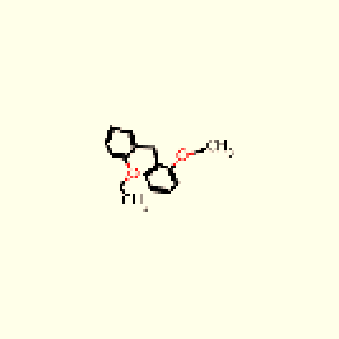 CCOc1ccccc1Cc1ccccc1OCC